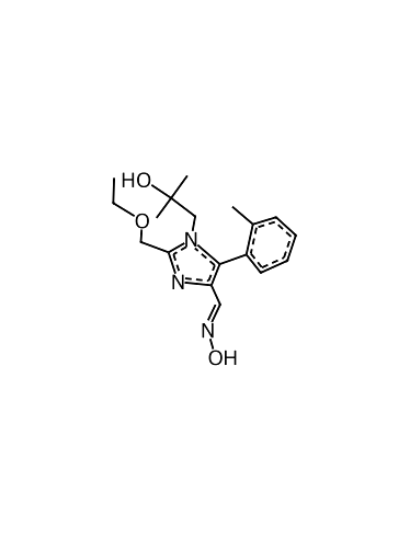 CCOCc1nc(/C=N/O)c(-c2ccccc2C)n1CC(C)(C)O